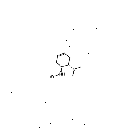 CC(C)N[C@H]1CC=CC[C@@H]1N(C)C